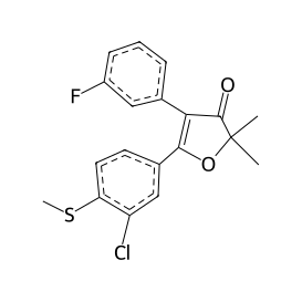 CSc1ccc(C2=C(c3cccc(F)c3)C(=O)C(C)(C)O2)cc1Cl